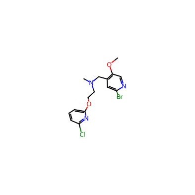 COc1cnc(Br)cc1CN(C)CCOc1cccc(Cl)n1